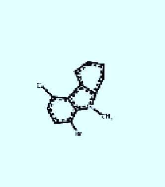 Cn1c2ccccc2c2c(Cl)ccc(Br)c21